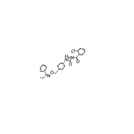 CC/C(=N/OCc1ccc(NC(=O)NC(=O)c2ccccc2Cl)cc1)c1ccccc1